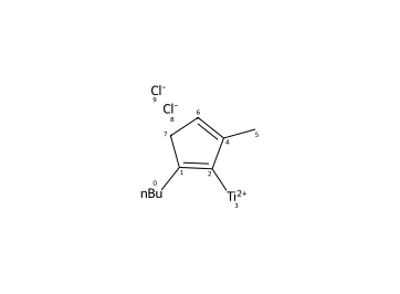 CCCCC1=[C]([Ti+2])C(C)=CC1.[Cl-].[Cl-]